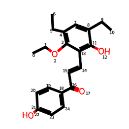 CCOc1c(CC)cc(CC)c(O)c1C=CC(=O)c1ccc(O)cc1